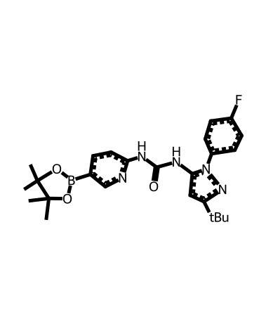 CC(C)(C)c1cc(NC(=O)Nc2ccc(B3OC(C)(C)C(C)(C)O3)cn2)n(-c2ccc(F)cc2)n1